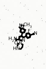 Cn1ncc2cc(-c3cc(C(N)=O)c(N4CCCNCC4)nc3-c3ccc(C#N)c(F)c3)ccc21